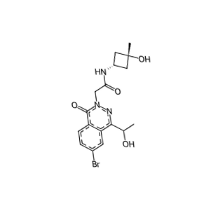 CC(O)c1nn(CC(=O)N[C@H]2C[C@@](C)(O)C2)c(=O)c2ccc(Br)cc12